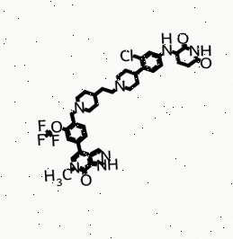 Cn1cc(-c2ccc(CN3CCC(CCN4CCC(c5ccc(NC6CCC(=O)NC6=O)cc5Cl)CC4)CC3)c(OC(F)(F)F)c2)c2cn[nH]c2c1=O